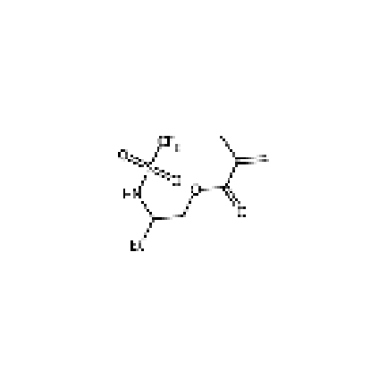 C=C(C)C(=O)OCC(CC)NS(=O)(=O)C(F)(F)F